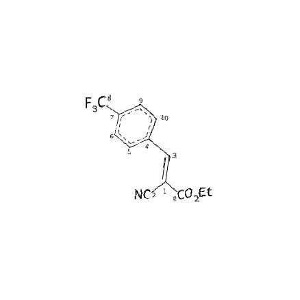 CCOC(=O)/C(C#N)=C/c1ccc(C(F)(F)F)cc1